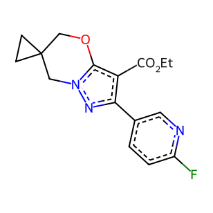 CCOC(=O)c1c(-c2ccc(F)nc2)nn2c1OCC1(CC1)C2